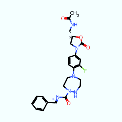 CC(=O)NC[C@H]1CN(c2ccc(N3CCNN(C(=O)/N=C/c4ccccc4)CC3)c(F)c2)C(=O)O1